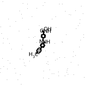 CN1CCN(c2ccc3[nH]c(-c4ccc(C(=O)NO)cc4)nc3c2)CC1